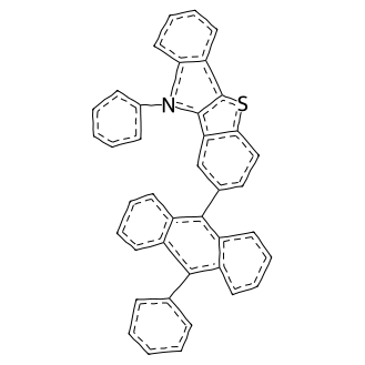 c1ccc(-c2c3ccccc3c(-c3ccc4sc5c6ccccc6n(-c6ccccc6)c5c4c3)c3ccccc23)cc1